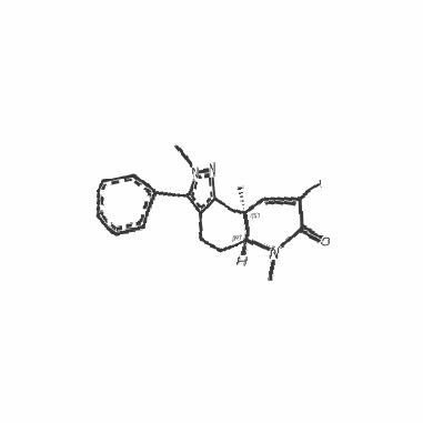 CN1C(=O)C(I)=C[C@]2(C)c3nn(C)c(-c4ccccc4)c3CC[C@@H]12